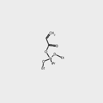 C=CC(=O)O[Si](OCC)(OCC)C(C)C